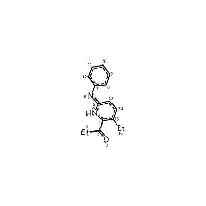 CCC(=O)c1[nH]c(=Nc2ccccc2)ccc1CC